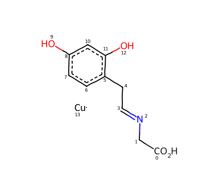 O=C(O)CN=CCc1ccc(O)cc1O.[Cu]